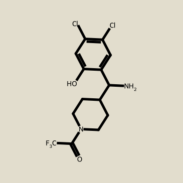 NC(c1cc(Cl)c(Cl)cc1O)C1CCN(C(=O)C(F)(F)F)CC1